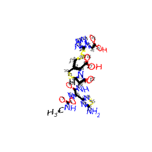 CNC(=O)O/N=C(/C(=O)N[C@@H]1C(=O)N2C(C(=O)O)=C(CSc3nnnn3CC(=O)O)CS[C@H]12)c1nsc(N)n1